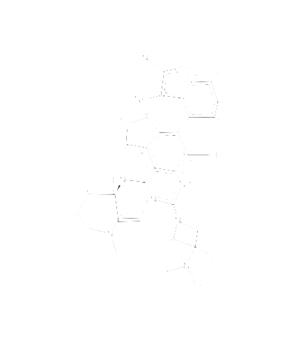 CN1CCC[C@@H](Nc2nc(N3CC(C)(N(C)C)C3)nc3c(Cl)c(-c4ccc(F)c5sc(N)c(C#N)c45)c4c(c23)COC4)C1=O